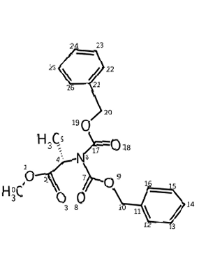 COC(=O)[C@H](C)N(C(=O)OCc1ccccc1)C(=O)OCc1ccccc1